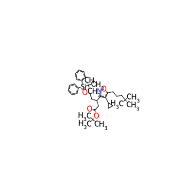 CC(C)(C)CCCc1onc(C(CCO[Si](c2ccccc2)(c2ccccc2)C(C)(C)C)CC(=O)OC(C)(C)C)c1C1CC1